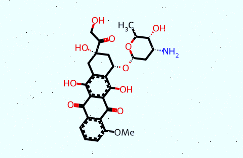 COc1cccc2c1C(=O)c1c(O)c3c(c(O)c1C2=O)C[C@@](O)(C(=O)CO)C[C@@H]3O[C@H]1C[C@@H](N)[C@@H](O)C(C)O1